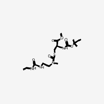 CCNC(=O)NCCN(C)C(=O)CCC(NC(=O)OC(C)(C)C)C(=O)OC